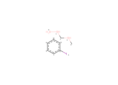 BBCBC.Ic1ccccc1